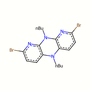 CCCCN1c2ccc(Br)nc2N(CCCC)c2nc(Br)ccc21